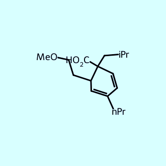 CCCC1=CC(CCOC)C(CC(C)C)(C(=O)O)C=C1